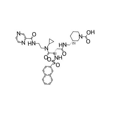 O=C(C[C@H](NS(=O)(=O)c1ccc2ccccc2c1)C(=O)N(CCNC(=O)c1cnccn1)C1CC1)NC[C@@H]1CCCN(C(=O)O)C1